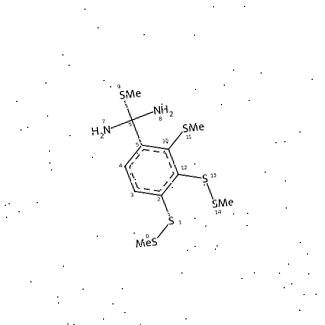 CSSc1ccc(C(N)(N)SC)c(SC)c1SSC